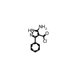 Nc1[nH]nc(-c2ccccc2)c1C(=O)Cl